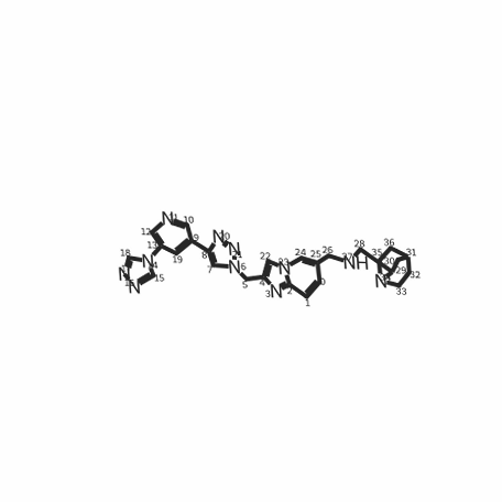 c1cc2nc(Cn3cc(-c4cncc(-n5cnnc5)c4)nn3)cn2cc1CNCC1CC2CCN1CC2